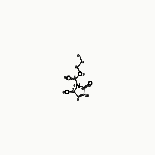 CCCOC(=O)N1C(=O)C=CC1=O